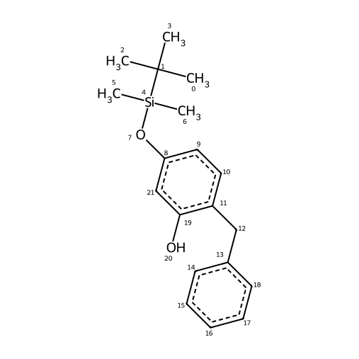 CC(C)(C)[Si](C)(C)Oc1ccc(Cc2ccccc2)c(O)c1